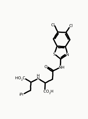 CC(C)CC(NC(CC(=O)Nc1nc2cc(Cl)c(Cl)cc2s1)C(=O)O)C(=O)O